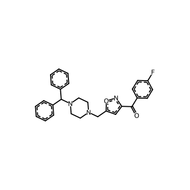 O=C(c1ccc(F)cc1)c1cc(CN2CCN(C(c3ccccc3)c3ccccc3)CC2)on1